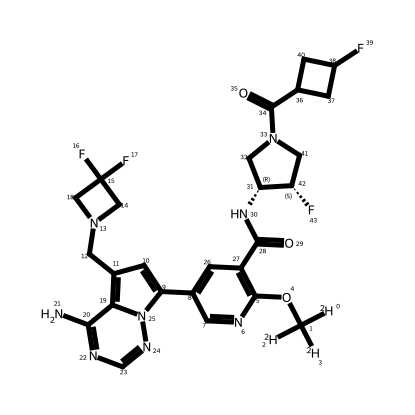 [2H]C([2H])([2H])Oc1ncc(-c2cc(CN3CC(F)(F)C3)c3c(N)ncnn23)cc1C(=O)N[C@@H]1CN(C(=O)C2CC(F)C2)C[C@@H]1F